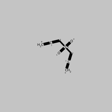 C=C=CS(=O)(=O)C=C=C